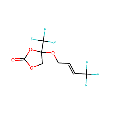 O=C1OCC(OCC=CC(F)(F)F)(C(F)(F)F)O1